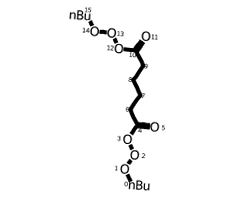 CCCCOOOC(=O)CCCCC(=O)OOOCCCC